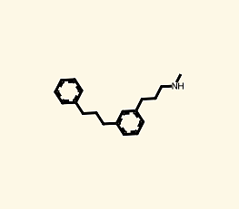 CNCCCc1cccc(CCCc2ccccc2)c1